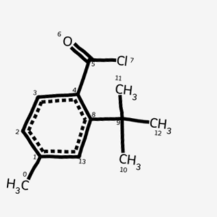 Cc1ccc(C(=O)Cl)c(C(C)(C)C)c1